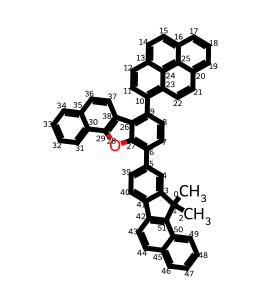 CC1(C)c2cc(-c3ccc(-c4ccc5ccc6cccc7ccc4c5c67)c4c3oc3c5ccccc5ccc34)ccc2-c2ccc3ccccc3c21